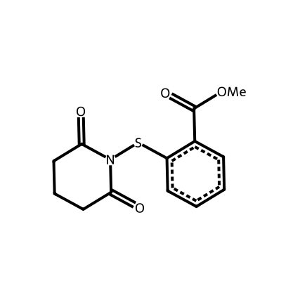 COC(=O)c1ccccc1SN1C(=O)CCCC1=O